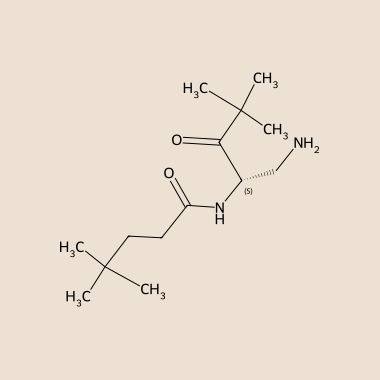 CC(C)(C)CCC(=O)N[C@@H](CN)C(=O)C(C)(C)C